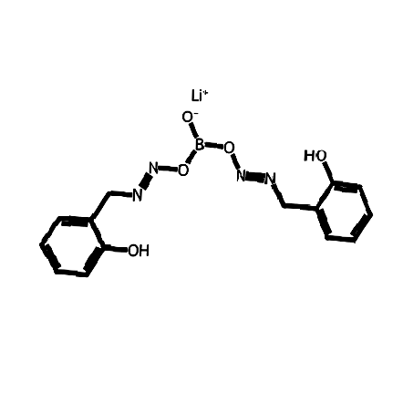 [Li+].[O-]B(O/N=N/Cc1ccccc1O)O/N=N/Cc1ccccc1O